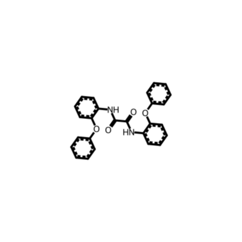 O=C(Nc1ccccc1Oc1ccccc1)C(=O)Nc1ccccc1Oc1ccccc1